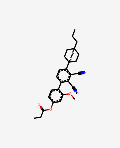 CCCC12CCC(c3ccc(-c4ccc(OC(=O)CC)cc4OC)c(C#N)c3C#N)(CC1)CC2